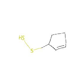 SSC1C=CCC1